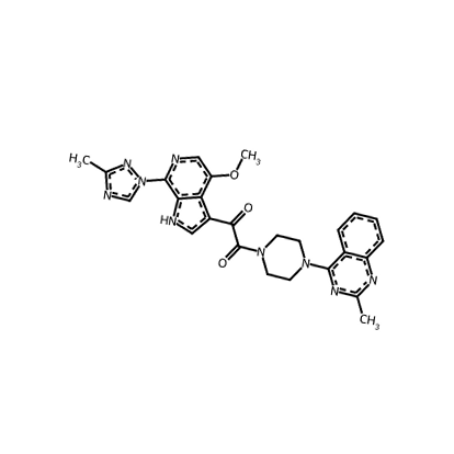 COc1cnc(-n2cnc(C)n2)c2[nH]cc(C(=O)C(=O)N3CCN(c4nc(C)nc5ccccc45)CC3)c12